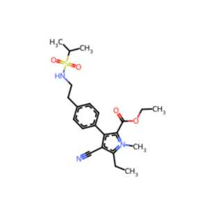 CCOC(=O)c1c(-c2ccc(CCNS(=O)(=O)C(C)C)cc2)c(C#N)c(CC)n1C